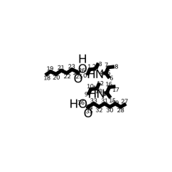 CCC(C)NC(C)CC.CCC(C)NC(C)CC.CCCCCCC(=O)O.CCCCCCCC(=O)O